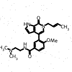 CC=CCn1cc(-c2cc(C(=O)NCCN(C)C)ccc2OC)c2cc[nH]c2c1=O